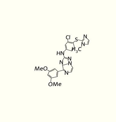 COc1cc(OC)cc(-c2nccn3nc(Nc4ccc(Sc5nccn5C)c(Cl)c4)nc23)c1